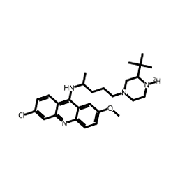 [2H]N1CCN(CCCC(C)Nc2c3ccc(Cl)cc3nc3ccc(OC)cc23)CC1C(C)(C)C